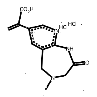 C=C(C(=O)O)c1cnc2c(c1)CN(C)CC(=O)N2.Cl.Cl